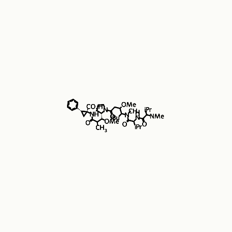 CCC(C)C(C(CC(=O)N1CCC[C@H]1C(OC)C(C)C(=O)N[C@@]1(C(=O)O)C[C@@H]1c1ccccc1)OC)N(C)C(=O)C(NC(=O)C(NC)C(C)C)C(C)C